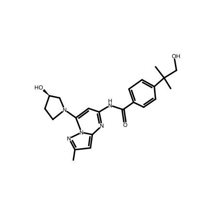 Cc1cc2nc(NC(=O)c3ccc(C(C)(C)CO)cc3)cc(N3CC[C@@H](O)C3)n2n1